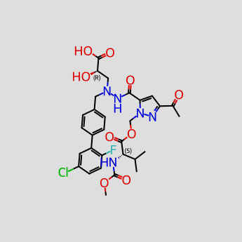 COC(=O)N[C@H](C(=O)OCn1nc(C(C)=O)cc1C(=O)NN(Cc1ccc(-c2cc(Cl)ccc2F)cc1)C[C@@H](O)C(=O)O)C(C)C